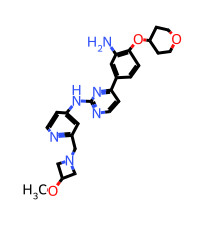 COC1CN(Cc2cc(Nc3nccc(-c4ccc(OC5CCOCC5)c(N)c4)n3)ccn2)C1